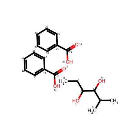 CCC(O)C(O)C(C)C.O=C(O)c1ccccc1.O=C(O)c1ccccc1